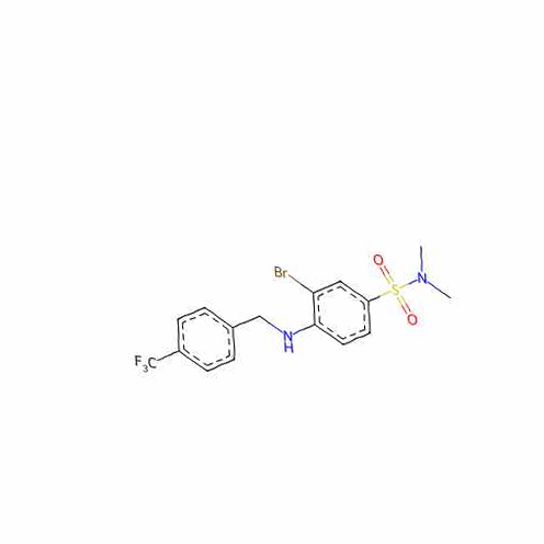 CN(C)S(=O)(=O)c1ccc(NCc2ccc(C(F)(F)F)cc2)c(Br)c1